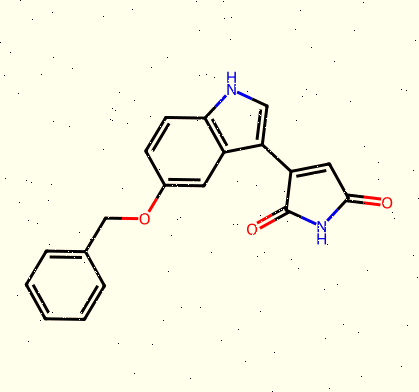 O=C1C=C(c2c[nH]c3ccc(OCc4ccccc4)cc23)C(=O)N1